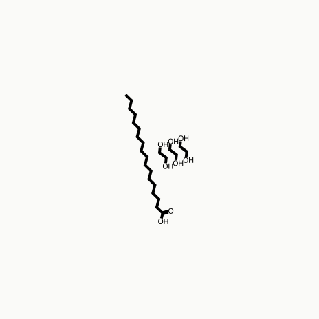 CCCCCCCCCCCCCCCCCC(=O)O.OCCO.OCCO.OCCO